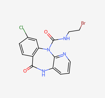 O=C1Nc2cccnc2N(C(=O)NCCBr)c2cc(Cl)ccc21